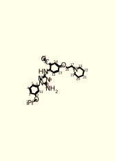 CC(C)Oc1cccc(-n2nc(NC3C=CC(OCCN4CCCCC4)=CC3=C=O)nc2N)c1